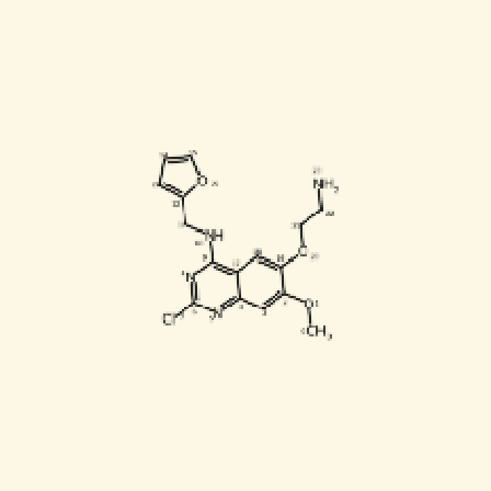 COc1cc2nc(Cl)nc(NCc3ccco3)c2cc1OCCN